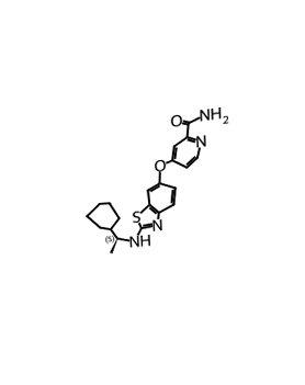 C[C@H](Nc1nc2ccc(Oc3ccnc(C(N)=O)c3)cc2s1)C1CCCCC1